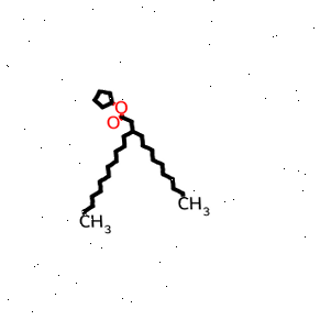 CCCCCCCCCCCCC(CCCCCCCCCC)CC(=O)OC1CCCC1